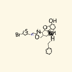 CC1C[C@@]2(O)[C@H]3Cc4ccc(O)c5c4[C@@]2(CCN3CCc2ccccc2)C(O5)C1N(C)C(=O)/C=C/c1cc(Br)cs1